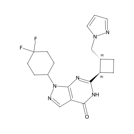 O=c1[nH]c([C@@H]2CC[C@H]2Cn2cccn2)nc2c1cnn2C1CCC(F)(F)CC1